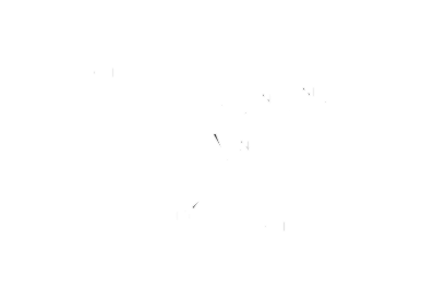 Nc1ccn([C@@]2(CCCCCCO)C[C@H](O)[C@@H](CO)O2)c(=O)n1